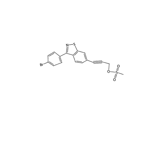 CS(=O)(=O)OCC#Cc1ccc2c(-c3ccc(Br)cc3)nsc2c1